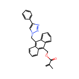 C=C(C)C(=O)OCc1c2ccccc2c(Cn2cc(-c3ccccc3)nn2)c2ccccc12